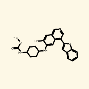 CC(C)(C)OC(=O)NC1CCC(Nc2cc3c(-c4cc5ccccc5o4)cncc3cc2O)CC1